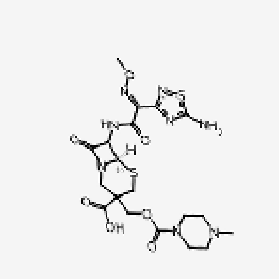 CON=C(C(=O)NC1C(=O)N2CC(COC(=O)N3CCN(C)CC3)(C(=O)O)CS[C@H]12)c1nsc(N)n1